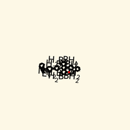 Bc1c(B)c(B)c2c(-c3ccc4c5c(cccc35)-c3ccccc3-4)c3c(B)c(B)c(B)c(B)c3c(-c3ccc(-c4ccc(-n5c(CC)nc6ccccc65)cc4)cc3)c2c1B